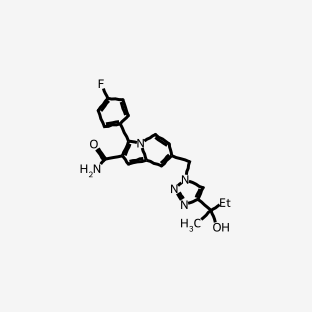 CCC(C)(O)c1cn(Cc2ccn3c(-c4ccc(F)cc4)c(C(N)=O)cc3c2)nn1